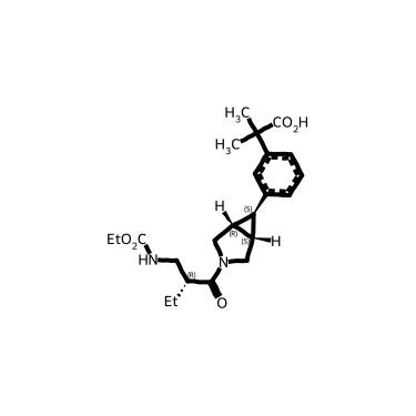 CCOC(=O)NC[C@@H](CC)C(=O)N1C[C@@H]2[C@H](C1)[C@H]2c1cccc(C(C)(C)C(=O)O)c1